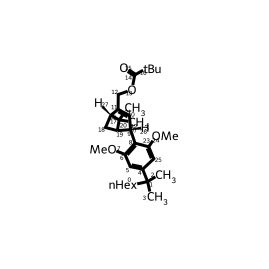 CCCCCCC(C)(C)c1cc(OC)c([C@H]2C=C(COC(=O)C(C)(C)C)[C@H]3CC2C3(C)C)c(OC)c1